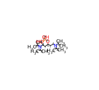 CC(C)N(CCC(CCN(C(C)C)C(C)C)OP(O)O)C(C)C